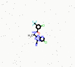 CC(NC(=O)c1cc(Cl)cc(C(F)(F)F)c1)/C(=N/C(=N)C#N)Nc1ccc(Cl)cn1